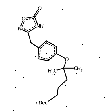 CCCCCCCCCCCCCC(C)(C)Oc1ccc(Cc2noc(=O)[nH]2)cc1